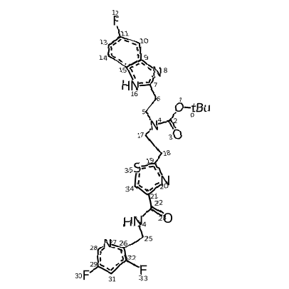 CC(C)(C)OC(=O)N(CCc1nc2cc(F)ccc2[nH]1)CCc1nc(C(=O)NCc2ncc(F)cc2F)cs1